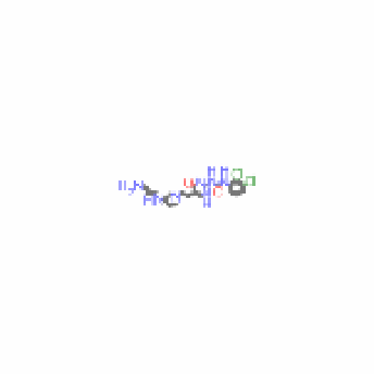 NCCCN[C@@H]1CCN(CCc2c[nH]c(NC(=O)Nc3cccc(Cl)c3Cl)nc2=O)C1